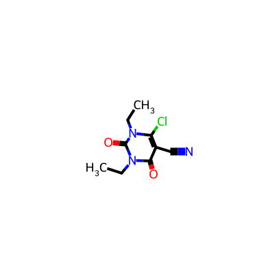 CCn1c(Cl)c(C#N)c(=O)n(CC)c1=O